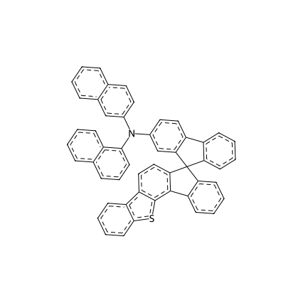 c1ccc2c(c1)-c1ccc(N(c3ccc4ccccc4c3)c3cccc4ccccc34)cc1C21c2ccccc2-c2c1ccc1c2sc2ccccc21